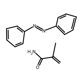 C=C(C)C(N)=O.c1ccc(N=Nc2ccccc2)cc1